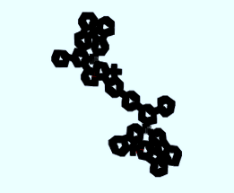 CC1(C)c2ccccc2-c2ccc(N(c3cc(-c4ccccc4)cc(-c4ccc(-c5ccc6c(c5)C(C)(C)c5cc(N(c7ccc8c(c7)C7(c9ccccc9-c9ccccc97)c7ccccc7-8)c7ccc(-c8ccccc8)cc7-c7ccccc7)ccc5-6)cc4)c3)c3ccc4c(c3)C3(c5ccccc5-c5ccccc53)c3ccccc3-4)cc21